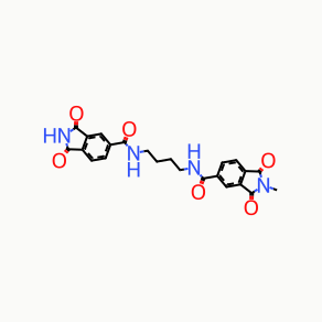 CN1C(=O)c2ccc(C(=O)NCCCCNC(=O)c3ccc4c(c3)C(=O)NC4=O)cc2C1=O